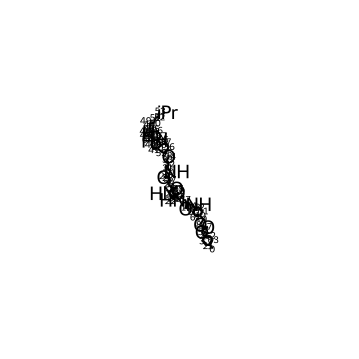 Cc1ccc(OC(=O)OCc2ccc(NC(=O)CNC(=O)[C@H](C)NC(=O)CCC(=O)NCCCO[C@H]3CC[C@@]4(C)C(=CC[C@H]5[C@@H]6CC[C@H]([C@H](C)CCCC(C)C)[C@@]6(C)CC[C@@H]54)C3)cc2)cc1